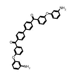 Nc1cccc(Oc2cccc(C(=O)c3ccc(-c4ccc(C(=O)c5cccc(Oc6cccc(N)c6)c5)cc4)cc3)c2)c1